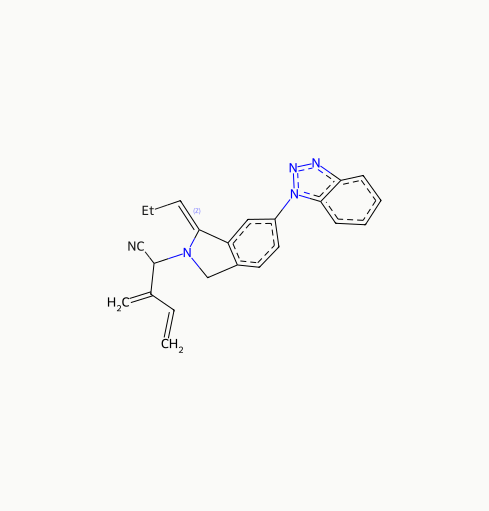 C=CC(=C)C(C#N)N1Cc2ccc(-n3nnc4ccccc43)cc2/C1=C/CC